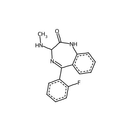 CNC1N=C(c2ccccc2F)c2ccccc2NC1=O